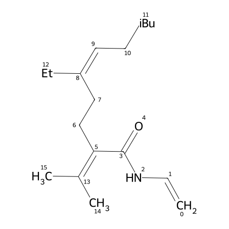 C=CNC(=O)C(CC/C(=C\CC(C)CC)CC)=C(C)C